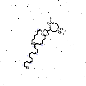 CC/C=C\C/C=C\C/C=C\C/C=C\C/C=C\C/C=C\CCC(=O)OC(CO/C=C\CCCCCCCCCCCCCC)C1CC[N+](C)(C)CCOP(=O)(O)O1